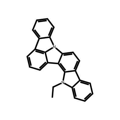 CCn1c2ccccc2c2ccc3c(c4cccc5c6ccccc6n3c54)c21